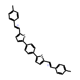 Cc1ccc(/C=C/c2ccc(-c3ccc(-c4ccc(/C=C/c5ccc(C)cc5)s4)cc3)s2)cc1